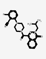 CC(C)Cn1nc(C(=O)N2CCN(c3cccc(F)c3C#N)CC2)c2ccccc2c1=O